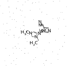 CCN1C=CN(C)C1.N#Cc1[nH]c2nc1C2(C#N)C#N